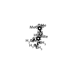 C=CC(=O)Nc1cc(Nc2ncnc(-c3cc(Cl)c(OC)c(OC)c3)n2)c(OC)cc1N(C)CCN(C)C